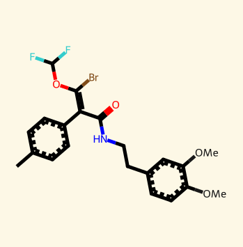 COc1ccc(CCNC(=O)C(=C(Br)OC(F)F)c2ccc(C)cc2)cc1OC